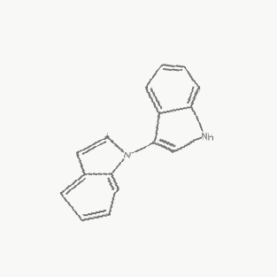 [c]1cc2ccccc2n1-c1c[nH]c2ccccc12